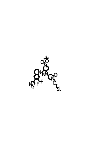 Cn1cc(-c2cc3c(cc2C(F)F)N(c2nn(C4CCN(COCC[Si](C)(C)C)C(=O)C4)c4c2CN(C(=O)OC(C)(C)C)CC4)CCC3)cn1